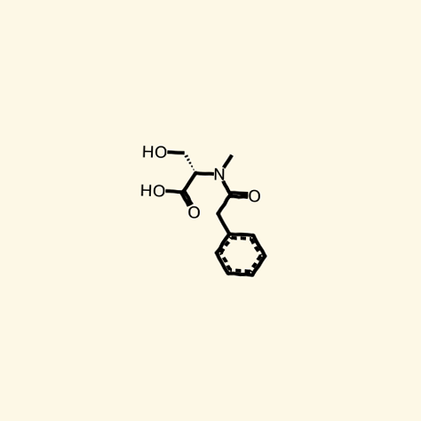 CN(C(=O)Cc1ccccc1)[C@@H](CO)C(=O)O